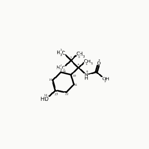 CC(C)(C)C(C)(NC(=O)O)C1CCC(O)CC1